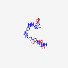 COc1c(N2CCC(CN3CCN(CC4CCN(c5cc(-c6n[nH]c7cnc(OC8(C)CC8)cc67)ncn5)CC4)C(C)(C)C3)CC2)ccc2c1CN(C1CCC(=O)NC1=O)C2=O